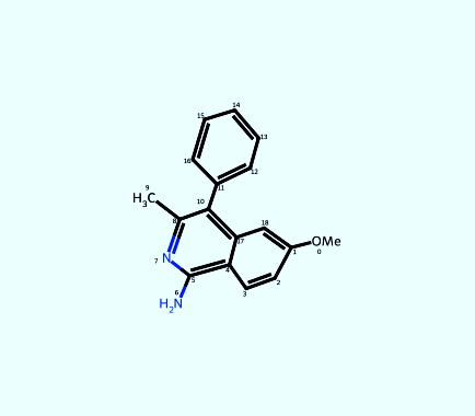 COc1ccc2c(N)nc(C)c(-c3ccccc3)c2c1